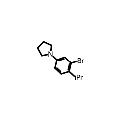 CC(C)c1ccc(N2CCCC2)cc1Br